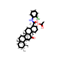 CC(=O)O[C@@H]1CC[C@@]2(C)C(CC[C@]3(C)C2C(=O)C=C2C4[C@@H](C)[C@H](C)CC[C@]4(C)CC[C@]23C)[C@@]1(C)C(=O)Nc1ccccc1Br